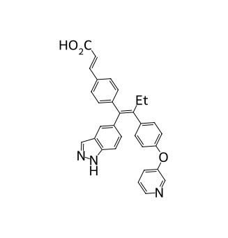 CCC(=C(c1ccc(C=CC(=O)O)cc1)c1ccc2[nH]ncc2c1)c1ccc(Oc2cccnc2)cc1